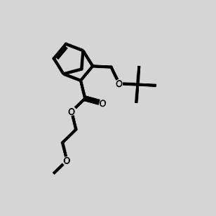 COCCOC(=O)C1C2C=CC(C2)C1COC(C)(C)C